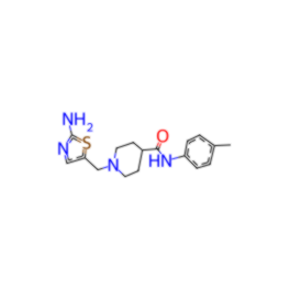 Cc1ccc(NC(=O)C2CCN(Cc3cnc(N)s3)CC2)cc1